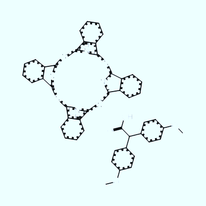 COc1ccc(C(C(=O)O)c2ccc(OC)cc2)cc1.c1ccc2c(c1)-c1nc-2nc2[nH]c(nc3nc(nc4[nH]c(n1)c1ccccc41)-c1ccccc1-3)c1ccccc21